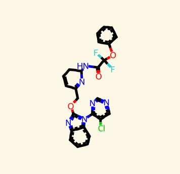 O=C(NC1CC=CC(COc2nc3ccccc3n2-c2ncncc2Cl)=N1)C(F)(F)Oc1ccccc1